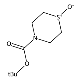 CC(C)(C)OC(=O)N1CC[S+]([O-])CC1